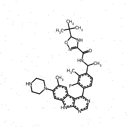 Cc1cc2c(cc1N1CCNCC1)[nH]c1ncnc(-c3ccc(C(C)NC(=O)C4=NOC(C(C)(C)C)N4)c(C)c3F)c12